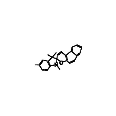 Cc1ccc2c(c1)C(C)(C)C1(C=Cc3c(ccc4ccccc34)O1)N2C